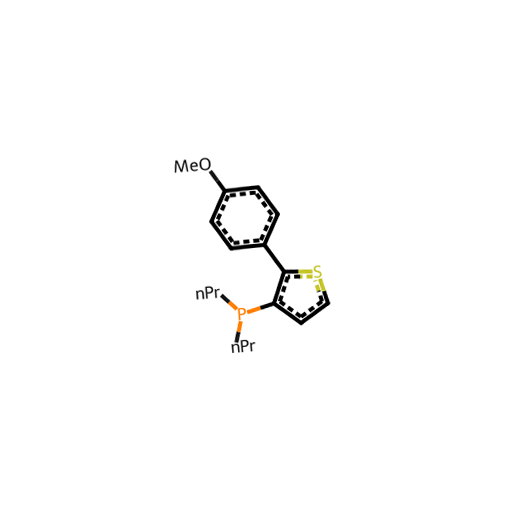 CCCP(CCC)c1ccsc1-c1ccc(OC)cc1